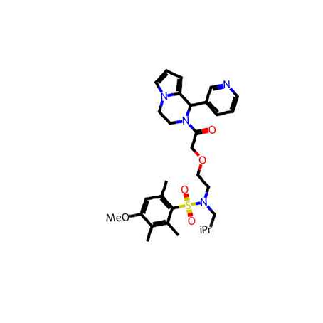 COc1cc(C)c(S(=O)(=O)N(CCOCC(=O)N2CCn3cccc3C2c2cccnc2)CC(C)C)c(C)c1C